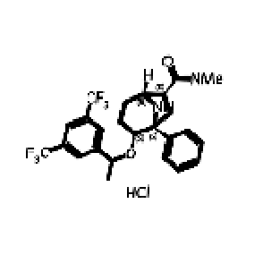 CNC(=O)[C@H]1C[C@@]2(c3ccccc3)N[C@@H]1CC[C@@H]2OC(C)c1cc(C(F)(F)F)cc(C(F)(F)F)c1.Cl